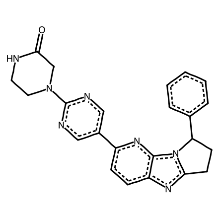 O=C1CN(c2ncc(-c3ccc4nc5n(c4n3)C(c3ccccc3)CC5)cn2)CCN1